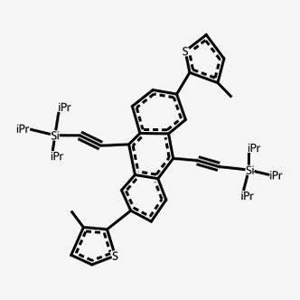 Cc1ccsc1-c1ccc2c(C#C[Si](C(C)C)(C(C)C)C(C)C)c3cc(-c4sccc4C)ccc3c(C#C[Si](C(C)C)(C(C)C)C(C)C)c2c1